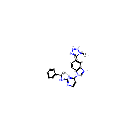 C[C@H](Nc1nccc(-n2cnc3cc(-c4nnnn4C)ccc32)n1)c1ccccc1